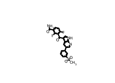 CS(=O)(=O)c1cccc(-c2cnc3[nH]cc(C(=O)c4c(F)ccc(C(N)=O)c4F)c3c2)c1